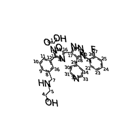 O=CO.OCCNCc1cccc(-c2noc(-c3nnn(-c4ccccc4F)c3-c3ccncc3)n2)c1